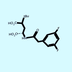 CC(C)(C)C(C[C@H](NC(=O)Cc1cc(F)cc(F)c1)C(=O)O)C(=O)O